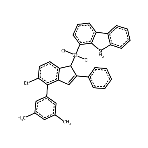 CCc1ccc2c(c1-c1cc(C)cc(C)c1)C=C(c1ccccc1)[CH]2[Zr]([Cl])([Cl])[c]1cccc2c1[SiH2]c1ccccc1-2